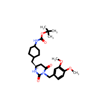 COc1ccc(CN2C(=O)C[C@H](CC3CCC(NC(=O)OC(C)(C)C)CC3)NC2=O)cc1OC